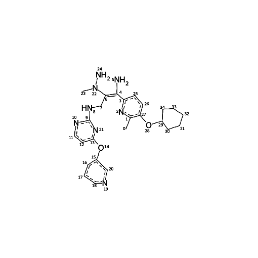 Cc1nc(/C(N)=C(\CNc2nccc(Oc3cccnc3)n2)N(C)N)ccc1OC1CCCCC1